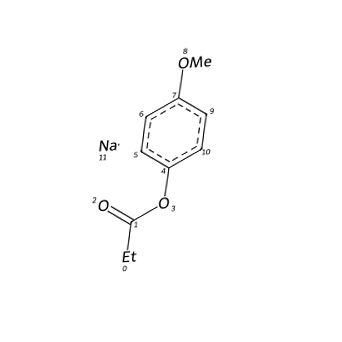 CCC(=O)Oc1ccc(OC)cc1.[Na]